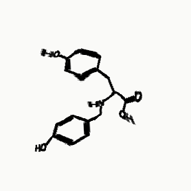 O=C(O)C(Cc1ccc(O)cc1)NCc1ccc(O)cc1